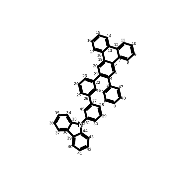 c1ccc(-c2cc3c4ccccc4c4ccccc4c3cc2-c2cccc(-c3cccc(-n4c5ccccc5c5ccccc54)c3)c2)cc1